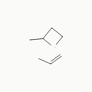 C=CC.CC1CCO1